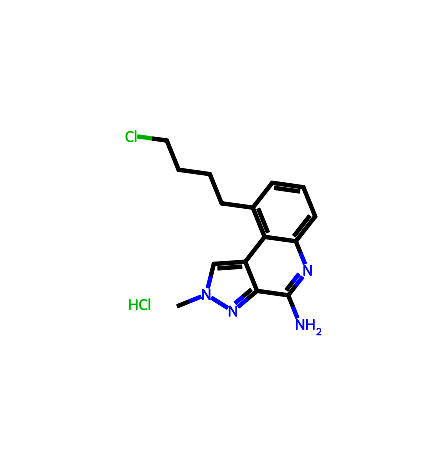 Cl.Cn1cc2c(n1)c(N)nc1cccc(CCCCCl)c12